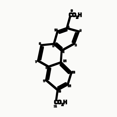 O=C(O)c1ccc2c(ccc3cc(C(=O)O)ccc32)c1